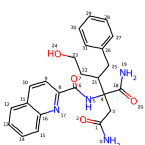 NC(=O)CC(NC(=O)c1ccc2ccccc2n1)(C(N)=O)C(CCO)Cc1ccccc1